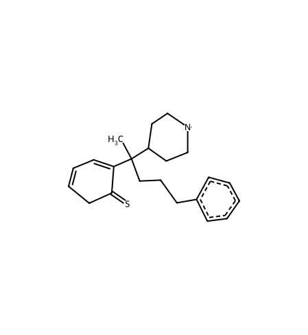 CC(CCCc1ccccc1)(C1=CC=CCC1=S)C1CC[N]CC1